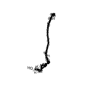 CCCN(CCCNC(=O)O)C(=O)C1=Cc2ccc(-c3cccc(S(=O)(=O)N4CC(CNC(=O)CCOCCOCCOCCOCCOCCOCCOCCOCCOCCOCCNC(=O)CCN5C(=O)C=CC5=O)C4)c3)cc2N=C(N)C1